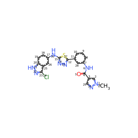 Cn1cc(C(=O)Nc2cccc(-c3nnc(Nc4ccc5[nH]nc(Cl)c5c4)s3)c2)cn1